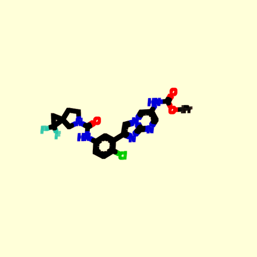 CC(C)OC(=O)Nc1cnc2nc(-c3cc(NC(=O)N4CCC5(C4)CC5(F)F)ccc3Cl)cn2c1